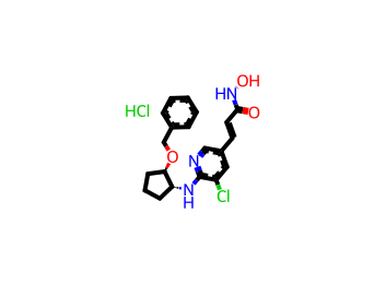 Cl.O=C(C=Cc1cnc(N[C@@H]2CCC[C@H]2OCc2ccccc2)c(Cl)c1)NO